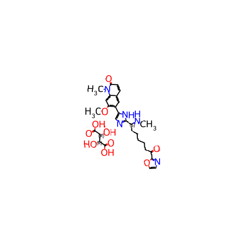 CN[C@@H](CCCCCC(=O)c1ncco1)c1ncc(-c2cc3ccc(=O)n(C)c3cc2OC)[nH]1.O=C(O)[C@H](O)[C@@H](O)C(=O)O